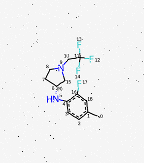 Cc1ccc(N[C@@H]2CCN(CC(F)(F)F)C2)c(F)c1